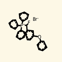 FC(c1cccc(Oc2ccccc2)c1)[P+](c1ccccc1)(c1ccccc1)c1ccccc1.[Br-]